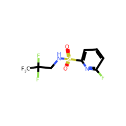 O=S(=O)(NCC(F)(F)C(F)(F)F)c1cccc(F)n1